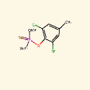 COP(=S)(OC)Oc1c(Cl)cc(C)cc1Br